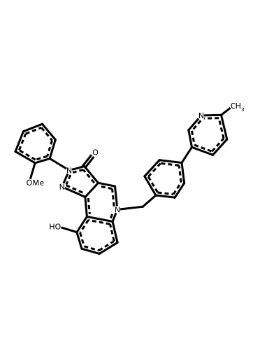 COc1ccccc1-n1nc2c3c(O)cccc3n(Cc3ccc(-c4ccc(C)nc4)cc3)cc-2c1=O